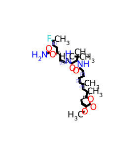 COC1=CC[C@@H]([C@@H](C)/C=C(C)/C=C\C=C/C(=O)NC(C(=O)N/C=C\C[C@H](C/C=C(\C)F)OC(N)=O)C(C)(C)C)OC1=O